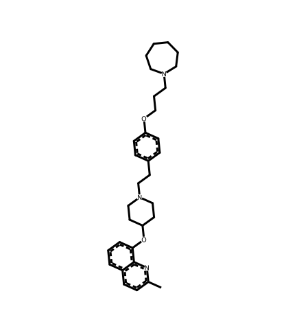 Cc1ccc2cccc(OC3CCN(CCc4ccc(OCCCN5CCCCCC5)cc4)CC3)c2n1